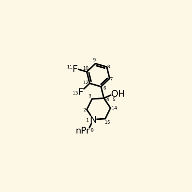 CCCN1CCC(O)(c2cccc(F)c2F)CC1